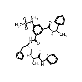 C[C@H](NC[C@H](Cc1ccsc1)NC(=O)c1cc(C(=O)N[C@H](C)c2ccccc2)cc(N(C)S(C)(=O)=O)c1)C(=O)Nc1ccccn1